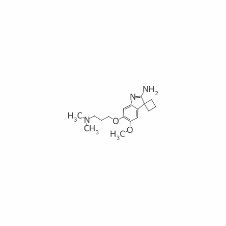 COc1cc2c(cc1OCCCN(C)C)N=C(N)C21CCC1